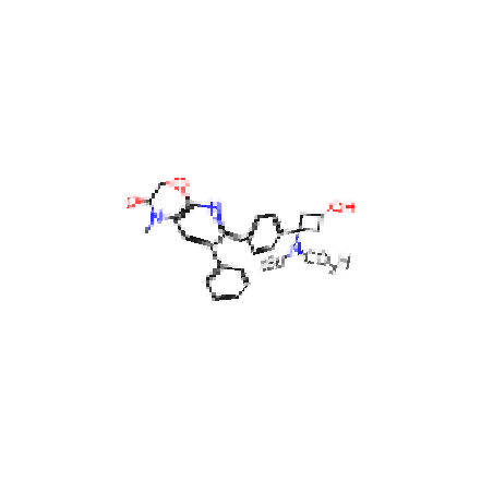 CN1C(=O)COc2nc(-c3ccc([C@]4(N(C(=O)O)C(C)(C)C)C[C@H](O)C4)cc3)c(-c3ccccc3)cc21